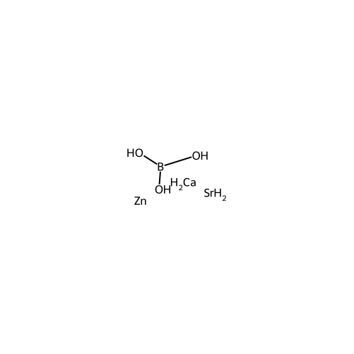 OB(O)O.[CaH2].[SrH2].[Zn]